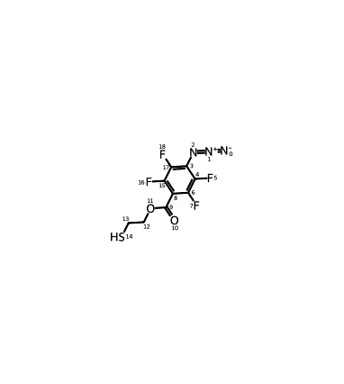 [N-]=[N+]=Nc1c(F)c(F)c(C(=O)OCCS)c(F)c1F